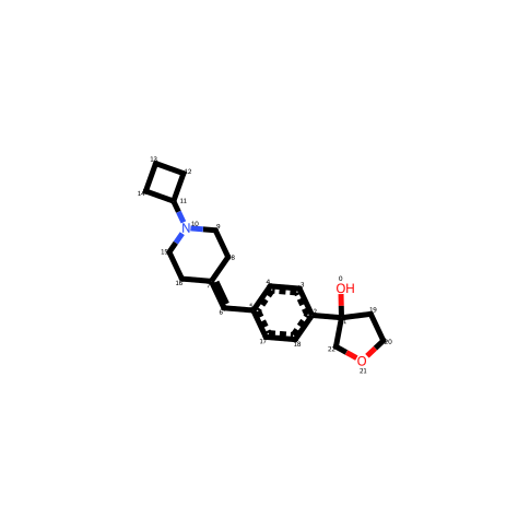 OC1(c2ccc(C=C3CCN(C4CCC4)CC3)cc2)CCOC1